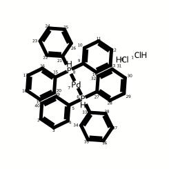 Cl.Cl.c1ccc([PH]([Pd][PH](c2ccccc2)(c2ccccc2)c2ccccc2)(c2ccccc2)c2ccccc2)cc1